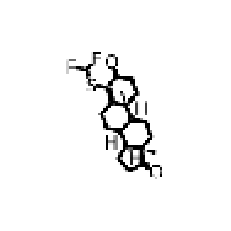 C[C@]12CCC(=O)C(SC(F)F)=C1CC[C@@H]1[C@@H]2CC[C@]2(C)C(=O)CC[C@@H]12